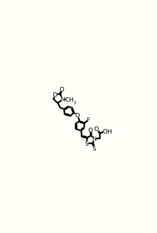 CN1C(=O)OCC1Cc1ccc(Oc2ccc(/C=C3/SC(=S)N(CC(=O)O)C3=O)cc2F)cc1